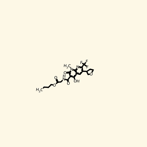 CCCCOC(=O)CNC(=O)c1c(O)c2cc(C3CCOC3)c(C(F)(F)F)nc2n(C)c1=O